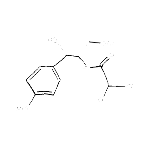 CSc1ccc([C@H](O)[C@H](COC(C)=O)NC(=O)C(Cl)Cl)cc1